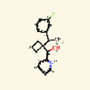 CC(c1cccc(F)c1)C1(C(O)c2ccccn2)CCC1